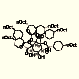 CCCCCCCC[C@H]1CC[C@H](C(=O)O[C@@]2(C(=O)[C@H]3CC[C@H](CCCCCCCC)CC3)[C@@](OC(=O)[C@H]3CC[C@H](CCCCCCCC)CC3)(C(=O)[C@H]3CC[C@H](CCCCCCCC)CC3)[C@@H](O)[C@H](O)[C@@H](O)[C@@]2(OC(=O)[C@H]2CC[C@H](CCCCCCCC)CC2)C(=O)[C@H]2CC[C@H](CCCCCCCC)CC2)CC1